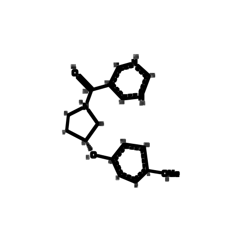 COc1ccc(O[C@@H]2CCN(C(=O)c3cncnc3)C2)cc1